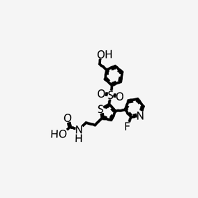 O=C(O)NCCc1cc(-c2cccnc2F)c(S(=O)(=O)c2cccc(CO)c2)s1